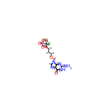 Nc1nc2c(ncn2COCCCCC(F)(F)P(=O)(O)O)c(=O)[nH]1